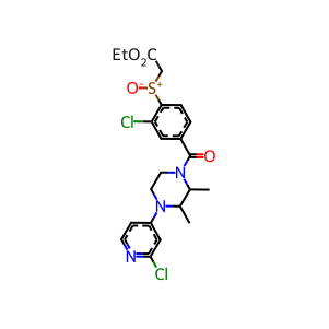 CCOC(=O)C[S+]([O-])c1ccc(C(=O)N2CCN(c3ccnc(Cl)c3)C(C)C2C)cc1Cl